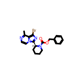 Cc1nccn2c([C@@H]3CCCCN3C(=O)OCc3ccccc3)nc(Br)c12